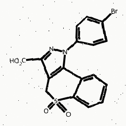 O=C(O)c1nn(-c2ccc(Br)cc2)c2c1CS(=O)(=O)c1ccccc1-2